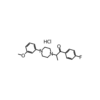 COc1cccc(N2CCN(C(C)C(=O)c3ccc(F)cc3)CC2)c1.Cl